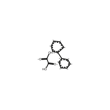 O=C(O)C(=O)O.c1ccc(-c2ccccc2)cc1